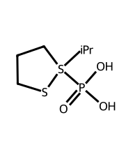 CC(C)S1(P(=O)(O)O)CCCS1